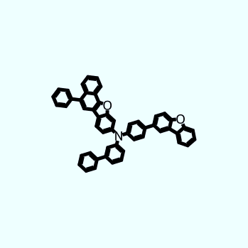 c1ccc(-c2cccc(N(c3ccc(-c4ccc5oc6ccccc6c5c4)cc3)c3ccc4c(c3)oc3c5ccccc5c(-c5ccccc5)cc43)c2)cc1